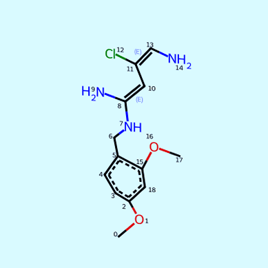 COc1ccc(CN/C(N)=C/C(Cl)=C\N)c(OC)c1